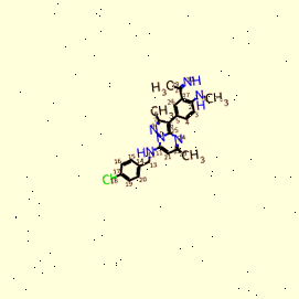 CNc1ccc(-c2c(C)nn3c(NCc4ccc(Cl)cc4)cc(C)nc23)cc1C(C)=N